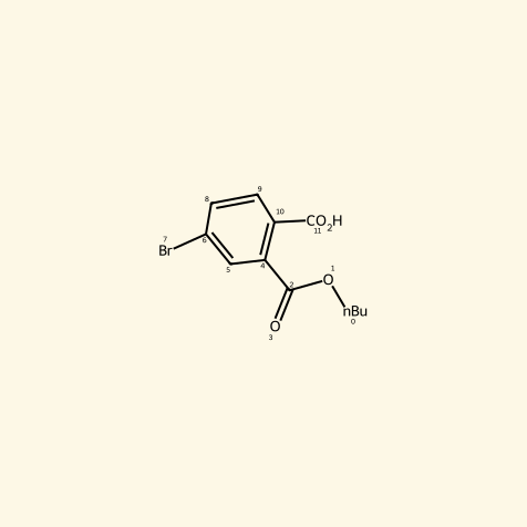 CCCCOC(=O)c1cc(Br)ccc1C(=O)O